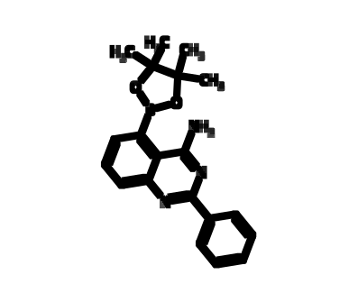 CC1(C)OB(c2cccc3nc(-c4ccccc4)nc(N)c23)OC1(C)C